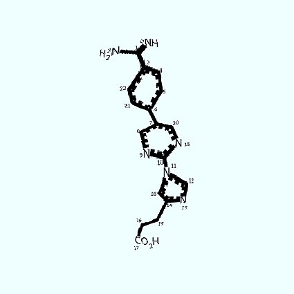 N=C(N)c1ccc(-c2cnc(-n3cnc(CCC(=O)O)c3)nc2)cc1